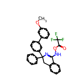 COc1cccc(-c2cccc(C3(c4ccccc4)Cc4ccccc4C(NOC(=O)C(F)(F)F)=N3)c2)c1